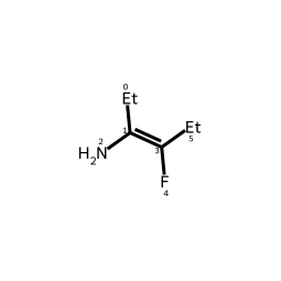 CC/C(N)=C(/F)CC